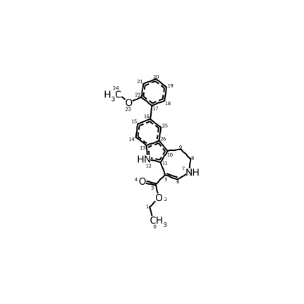 CCOC(=O)C1=CNCCc2c1[nH]c1ccc(-c3ccccc3OC)cc21